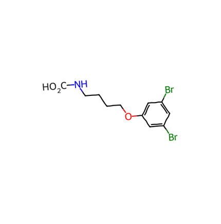 O=C(O)NCCCCOc1cc(Br)cc(Br)c1